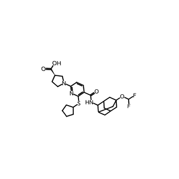 O=C(NC1C2CC3CC1CC(OC(F)F)(C3)C2)c1ccc(N2CC[C@@H](C(=O)O)C2)nc1SC1CCCC1